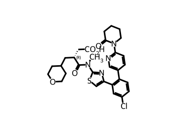 CN(C(=O)[C@@H](CC(=O)O)CC1CCOCC1)c1nc(-c2cc(Cl)ccc2-c2ccc(N3CCCCC3=O)nc2)cs1